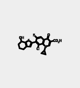 O=C(O)c1cn(C2CC2)c2c(Cl)c(-c3cc4c(s3)C(O)CCC4)c(F)cc2c1=O